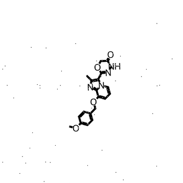 COc1ccc(COc2cccn3c(C4=NNC(=O)CO4)c(C)nc23)cc1